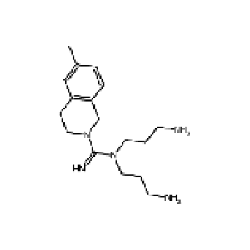 Cc1ccc2c(c1)CCN(C(=N)N(CCCN)CCCN)C2